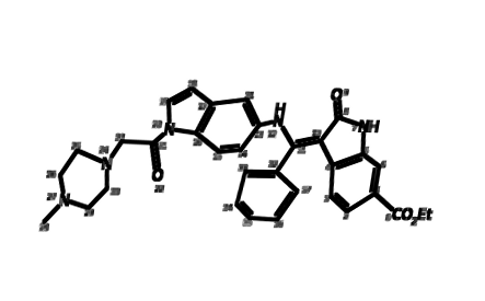 CCOC(=O)c1ccc2c(c1)NC(=O)/C2=C(\Nc1ccc2c(ccn2C(=O)CN2CCN(C)CC2)c1)c1ccccc1